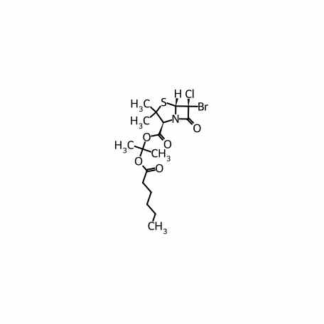 CCCCCC(=O)OC(C)(C)OC(=O)[C@@H]1N2C(=O)[C@@](Cl)(Br)[C@H]2SC1(C)C